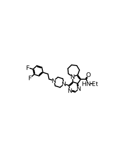 CCNC(=O)c1c2n(c3c(N4CCN(CCc5ccc(F)c(F)c5)CC4)ncnc13)CCCCC2